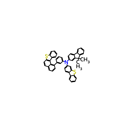 CC1(C)c2ccccc2-c2ccc(N(c3cccc(-c4cccc5ccc6sc7ccccc7c6c45)c3)c3ccc4c(c3)sc3ccccc34)cc21